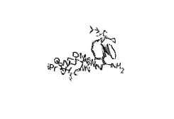 COC1(c2cc(-n3nc(N)c4c(=O)n([C@@H](C)C5CC5)ccc43)nn2C)CN(S(=O)(=O)C(C)C)C1